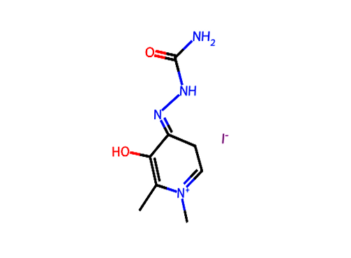 CC1=C(O)C(=NNC(N)=O)CC=[N+]1C.[I-]